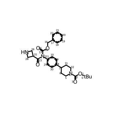 CC(C)(C)OC(=O)N1CCC(c2ccc(N(C(=O)OCc3ccccc3)C(=O)C3CNC3)cc2)CC1